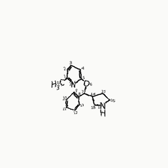 Cc1cccc(O[C@H](c2ccccc2)C2CCNC2)n1